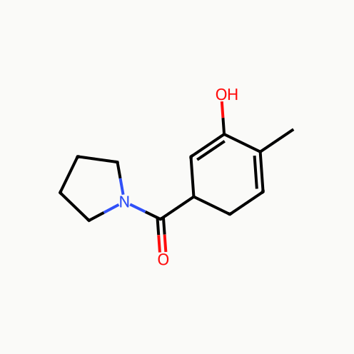 CC1=CCC(C(=O)N2CCCC2)C=C1O